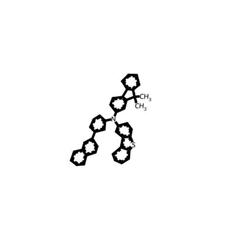 CC1(C)c2ccccc2-c2ccc(N(c3cccc(-c4ccc5ccccc5c4)c3)c3ccc4sc5ccccc5c4c3)cc21